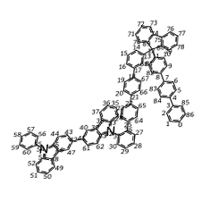 c1ccc(-c2ccc(-c3ccc(C4(c5cccc(-c6ccc(-c7ccc(-c8ccccc8-n8c9ccccc9c9cc(-c%10ccc%11c(c%10)c%10ccccc%10n%11-c%10ccccc%10)ccc98)cc7)cc6)c5)c5ccccc5-c5ccccc54)cc3)cc2)cc1